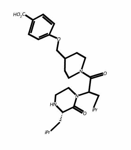 CC(C)CC(C(=O)N1CCC(COc2ccc(C(=O)O)cc2)CC1)N1CCN[C@@H](CC(C)C)C1=O